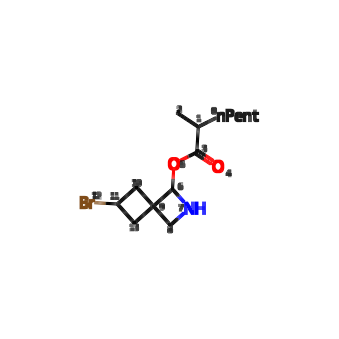 CCCCCC(C)C(=O)OC1NCC12CC(Br)C2